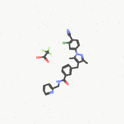 Cc1nn(-c2ccc(C#N)c(Cl)c2)c(C)c1Cc1cccc(C(=O)NCc2ccccn2)c1.O=C(O)C(F)(F)F